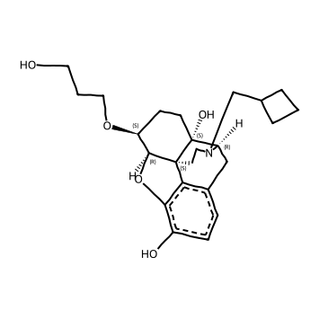 OCCCO[C@H]1CC[C@@]2(O)[C@H]3Cc4ccc(O)c5c4[C@@]2(CCN3CC2CCC2)[C@H]1O5